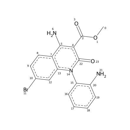 COC(=O)c1c(N)c2ccc(Br)cc2n(-c2ccccc2N)c1=O